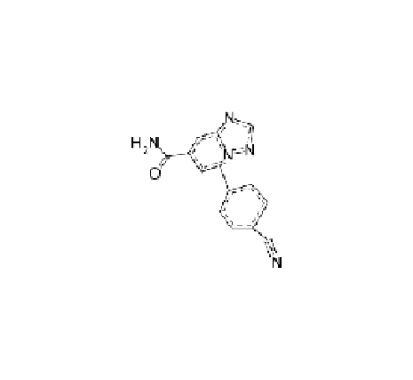 N#Cc1ccc(-c2cc(C(N)=O)cc3ncnn23)cc1